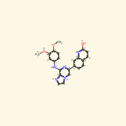 COc1ccc(Nc2nc(-c3ccc4ccc(O)nc4c3)cn3ccnc23)cc1OC